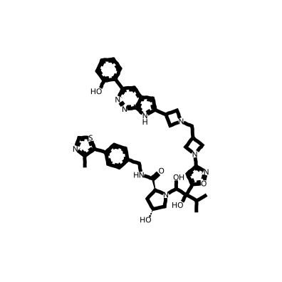 Cc1ncsc1-c1ccc(CNC(=O)[C@@H]2C[C@@H](O)CN2C(O)C(O)(c2cc(N3CC(CN4CC(c5cc6cc(-c7ccccc7O)nnc6[nH]5)C4)C3)no2)C(C)C)cc1